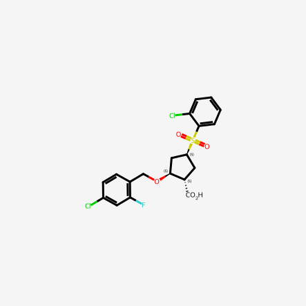 O=C(O)[C@H]1C[C@H](S(=O)(=O)c2ccccc2Cl)C[C@@H]1OCc1ccc(Cl)cc1F